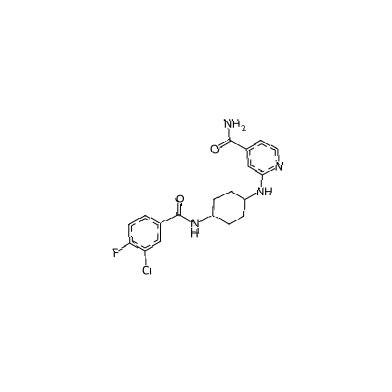 NC(=O)c1ccnc(NC2CCC(NC(=O)c3ccc(F)c(Cl)c3)CC2)c1